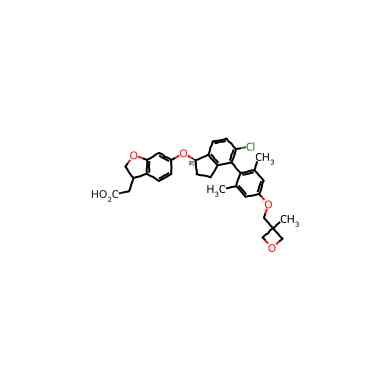 Cc1cc(OCC2(C)COC2)cc(C)c1-c1c(Cl)ccc2c1CC[C@H]2Oc1ccc2c(c1)OCC2CC(=O)O